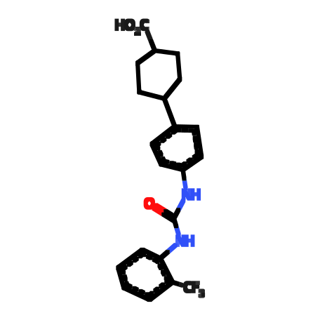 O=C(Nc1ccc(C2CCC(C(=O)O)CC2)cc1)Nc1ccccc1C(F)(F)F